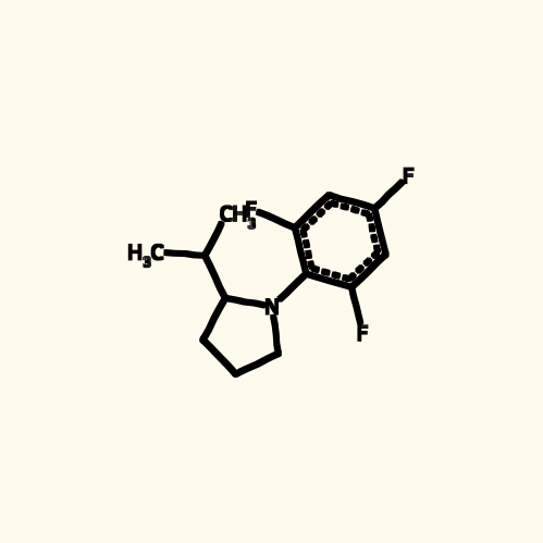 CC(C)C1CCCN1c1c(F)cc(F)cc1F